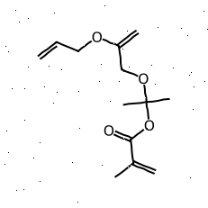 C=CCOC(=C)COC(C)(C)OC(=O)C(=C)C